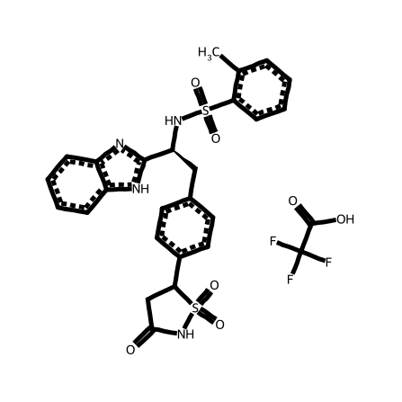 Cc1ccccc1S(=O)(=O)N[C@@H](Cc1ccc(C2CC(=O)NS2(=O)=O)cc1)c1nc2ccccc2[nH]1.O=C(O)C(F)(F)F